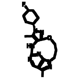 Cc1nn2c3nc(ncc13)Nc1c(nn([C@H]3CC[C@H](F)CC3)c1C)OCCC2